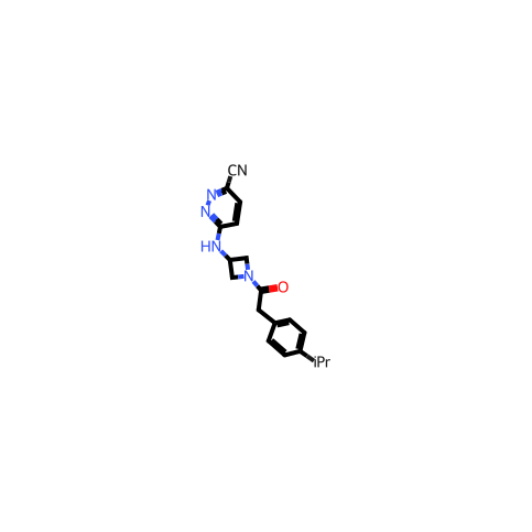 CC(C)c1ccc(CC(=O)N2CC(Nc3ccc(C#N)nn3)C2)cc1